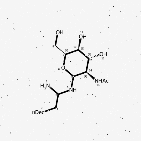 CCCCCCCCCCCC(N)NC1O[C@H](CO)[C@@H](O)[C@H](O)[C@H]1NC(C)=O